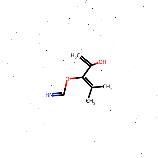 C=C(O)C(OC=N)=C(C)C